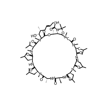 CC=CC[C@@H](C)[C@@H](O)[C@H]1C(=O)O[C@H](C)[C@H](N(C(=O)O)C(C)(C)C)C(=O)N(C)CC(=O)N(C)[C@@H](CC(C)C)C(=O)N[C@@H](CC(C)C)C(=O)N(C)[C@@H](CC(C)C)C(=O)N[C@@H](C)C(=O)N[C@H](C)C(=O)N(C)[C@@H](CC(C)C)C(=O)N[C@@H](CC(C)C)C(=O)N(C)[C@@H](C(C)C)C(=O)N1C